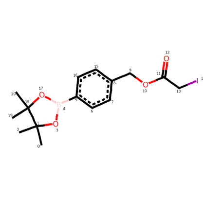 CC1(C)OB(c2ccc(COC(=O)CI)cc2)OC1(C)C